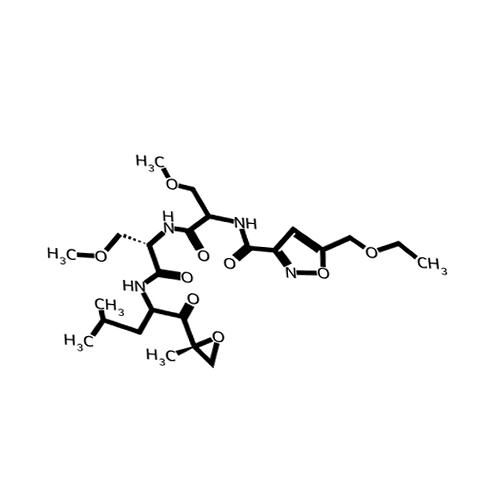 CCOCc1cc(C(=O)NC(COC)C(=O)N[C@@H](COC)C(=O)NC(CC(C)C)C(=O)[C@@]2(C)CO2)no1